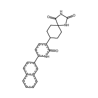 O=C1NC(=O)C2(CCC(c3ccc(-c4ccc5ccccc5c4)[nH]c3=O)CC2)N1